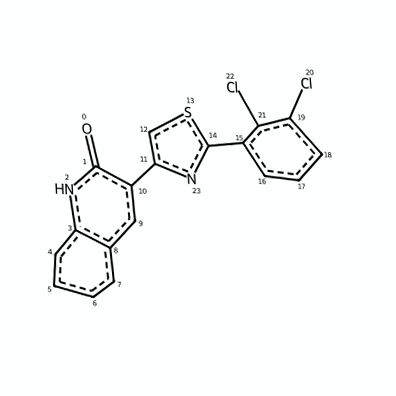 O=c1[nH]c2ccccc2cc1-c1csc(-c2cccc(Cl)c2Cl)n1